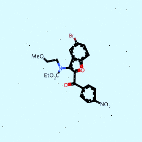 CCOC(=O)N(CCOC)c1c(C(=O)c2ccc([N+](=O)[O-])cc2)oc2ccc(Br)cc12